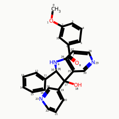 COc1cccc(C(=O)N[C@H](c2ccccc2)C(O)(c2cccnc2)c2cccnc2)c1